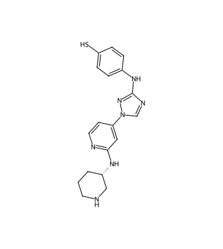 Sc1ccc(Nc2ncn(-c3ccnc(N[C@H]4CCCNC4)c3)n2)cc1